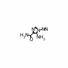 N#[N+]n1cnc(C(N)=O)c1N